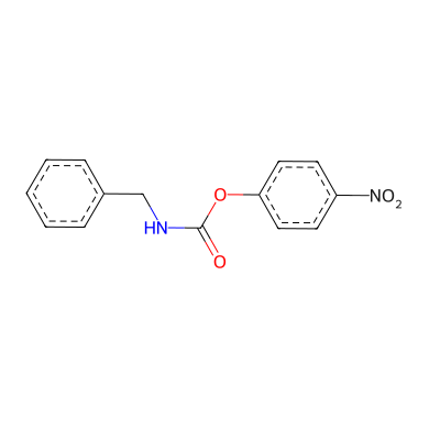 O=C(NCc1ccccc1)Oc1ccc([N+](=O)[O-])cc1